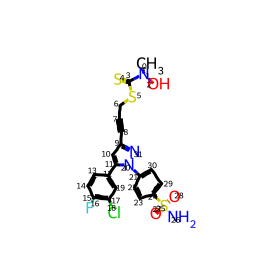 CN(O)C(=S)SCC#Cc1cc(-c2ccc(F)c(Cl)c2)n(-c2ccc(S(N)(=O)=O)cc2)n1